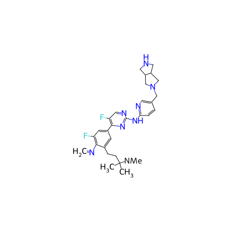 C=Nc1c(F)cc(-c2nc(Nc3ccc(CN4CC5CNCC5C4)cn3)ncc2F)cc1CCC(C)(C)NC